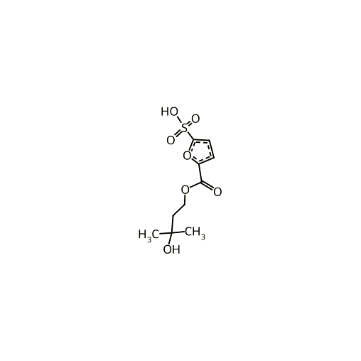 CC(C)(O)CCOC(=O)c1ccc(S(=O)(=O)O)o1